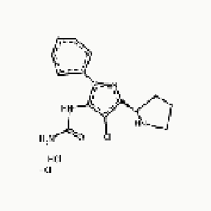 Cl.Cl.NC(=O)Nc1c(Cl)c([C@H]2CCCN2)nn1-c1ccccc1